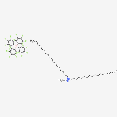 CCCCCCCCCCCCCCCCCC[NH+](CC)CCCCCCCCCCCCCCCCCC.Fc1c(F)c(F)c([B-](c2c(F)c(F)c(F)c(F)c2F)(c2c(F)c(F)c(F)c(F)c2F)c2c(F)c(F)c(F)c(F)c2F)c(F)c1F